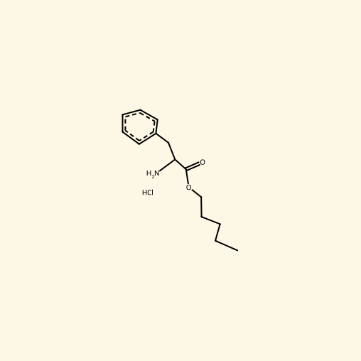 CCCCCOC(=O)C(N)Cc1ccccc1.Cl